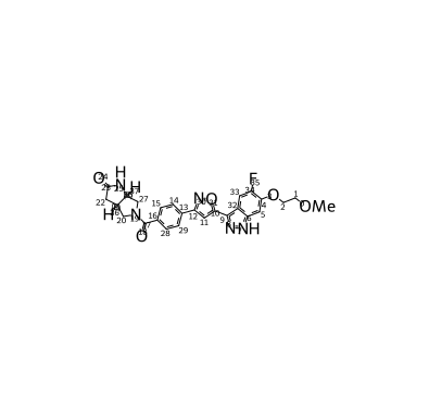 COCCOc1cc2[nH]nc(-c3cc(-c4ccc(C(=O)N5C[C@@H]6CC(=O)N[C@@H]6C5)cc4)no3)c2cc1F